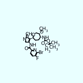 CO[C@H]1CO[C@H](c2c(NC(=O)c3ccc(F)c(Br)n3)cnn2C)CC[C@H]1NC(=O)OC(C)(C)C